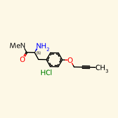 CC#CCOc1ccc(C[C@H](N)C(=O)NC)cc1.Cl